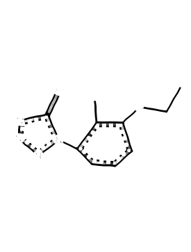 CCSc1cccc(-n2nn[nH]c2=O)c1I